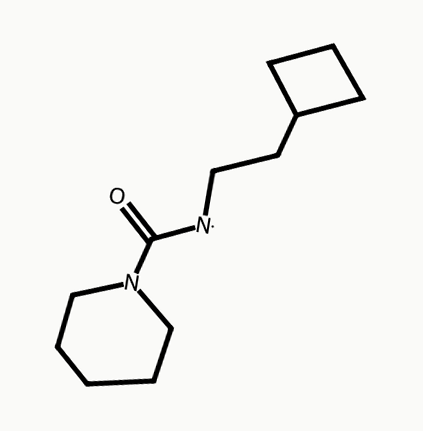 O=C([N]CCC1CCC1)N1CCCCC1